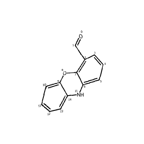 O=Cc1cccc2c1Oc1ccccc1N2